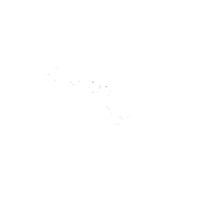 O=C(Cc1cc2cc(CNC(=O)ON3C(=O)CCC3=O)ccc2oc1=O)NCCCP(=O)(O)O